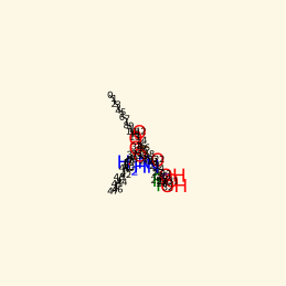 CCCCCCCCCCCC(=O)OCC(CSCC(N)C(=O)NCCCC(F)(F)P(=O)(O)O)OC(=O)CCCCCCCCCCC